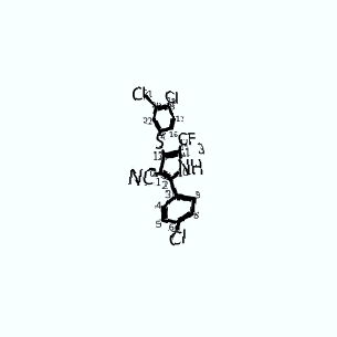 N#Cc1c(-c2ccc(Cl)cc2)[nH]c(C(F)(F)F)c1Sc1ccc(Cl)c(Cl)c1